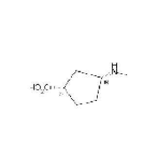 O=C(O)[C@H]1CC[C@@H](NI)C1